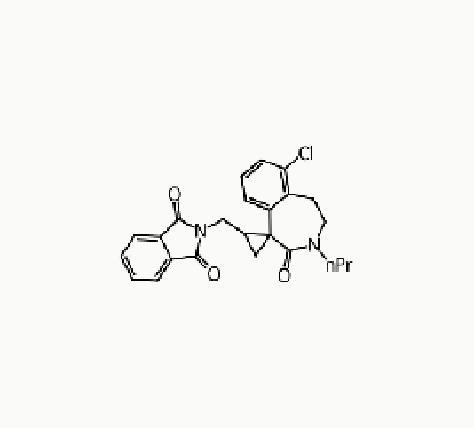 CCCN1CCc2c(Cl)cccc2C2(CC2CN2C(=O)c3ccccc3C2=O)C1=O